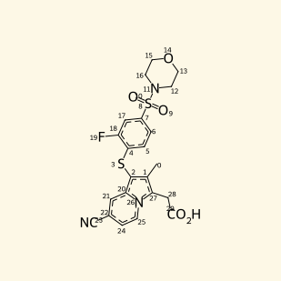 Cc1c(Sc2ccc(S(=O)(=O)N3CCOCC3)cc2F)c2cc(C#N)ccn2c1CC(=O)O